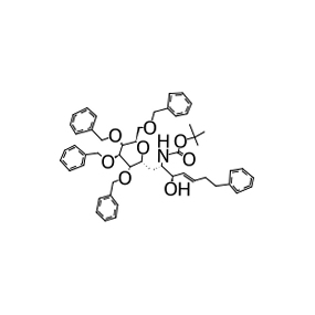 CC(C)(C)OC(=O)N[C@@H](C[C@H]1O[C@H](COCc2ccccc2)[C@H](OCc2ccccc2)[C@H](OCc2ccccc2)[C@H]1OCc1ccccc1)[C@H](O)C=CCCc1ccccc1